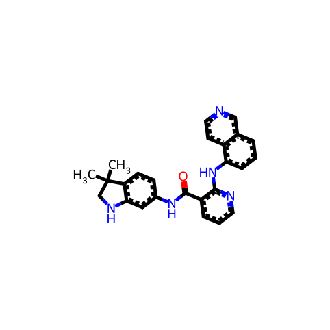 CC1(C)CNc2cc(NC(=O)c3cccnc3Nc3cccc4cnccc34)ccc21